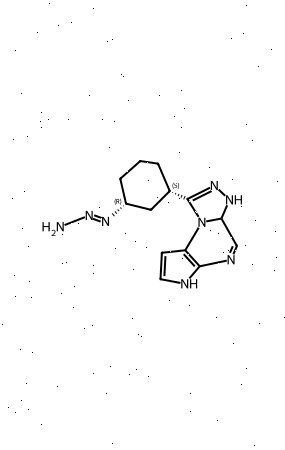 NN=N[C@@H]1CCC[C@H](C2=NNC3C=Nc4[nH]ccc4N23)C1